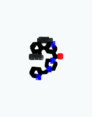 CCCCc1ncc(C(=O)N2CCN(Cc3ccccn3)CC2)cc1-c1c(OC)cccc1OC